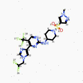 Cn1cc(S(=O)(=O)N2CCC(Nc3ncc(C(F)(F)F)c(-c4cn(CC(F)F)cn4)n3)CC2)cn1